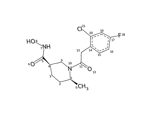 C[C@H]1CC[C@@H](C(=O)NO)CN1C(=O)Cc1ccc(F)cc1Cl